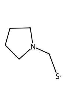 [S]CN1CCCC1